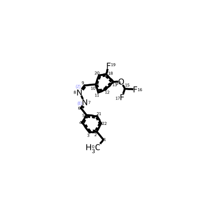 CCc1ccc(/C=N/N=C\c2ccc(OC(F)F)c(F)c2)cc1